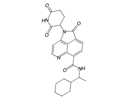 CC(NC(=O)c1ccc2c3c(ccnc13)N(C1CCC(=O)NC1=O)C2=O)C1CCCCC1